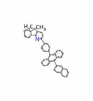 CC1(C)c2ccccc2-c2nc(-c3ccc(-c4c5ccccc5c(-c5ccc6ccccc6c5)c5ccccc45)cc3)ccc21